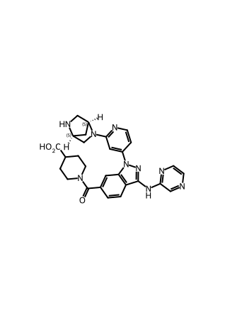 O=C(O)C1CCN(C(=O)c2ccc3c(Nc4cnccn4)nn(-c4ccnc(N5C[C@@H]6C[C@H]5CN6)c4)c3c2)CC1